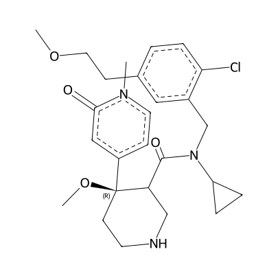 COCCc1ccc(Cl)c(CN(C(=O)C2CNCC[C@]2(OC)c2ccn(C)c(=O)c2)C2CC2)c1